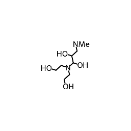 CNCC(O)C(O)N(CCO)CCO